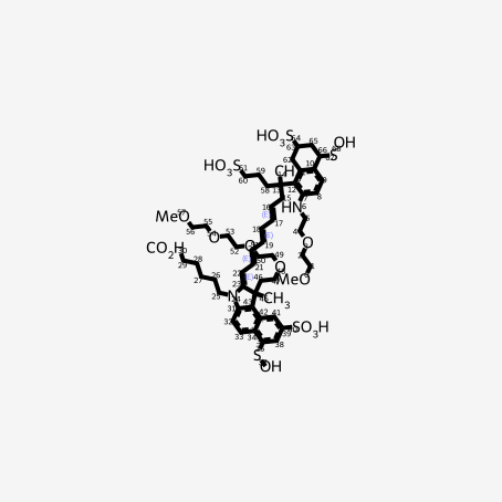 COCCOCCNc1ccc2c(c1C(C)(C/C=C/C=C/C=C/C=C1/N(CCCCCC(=O)O)c3ccc4c(SO)cc(S(=O)(=O)O)cc4c3C1(C)CCOCCOCCOCCOC)CCCS(=O)(=O)O)CC(S(=O)(=O)O)CC2SO